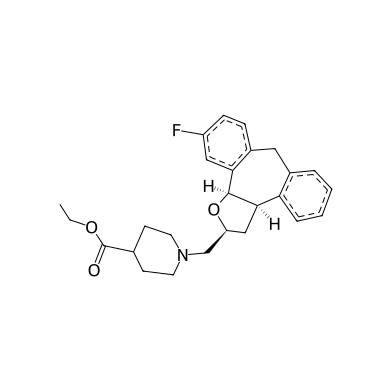 CCOC(=O)C1CCN(C[C@@H]2C[C@@H]3c4ccccc4Cc4ccc(F)cc4[C@@H]3O2)CC1